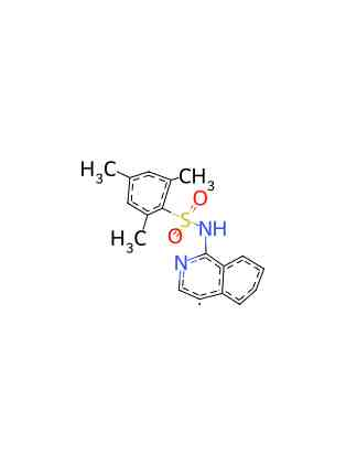 Cc1cc(C)c(S(=O)(=O)Nc2nc[c]c3ccccc23)c(C)c1